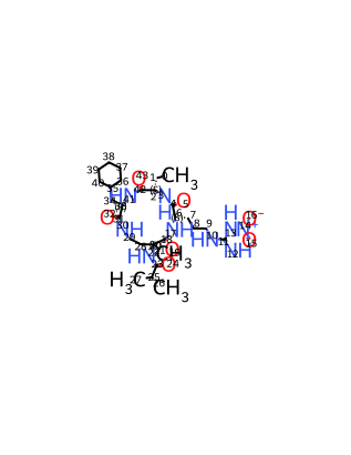 CC[C@@H]1NC(=O)[C@H](CCCNC(=N)N[N+](=O)[O-])NC(=O)[C@](C)(NC(=O)C(C)C)CCNC(=O)[C@@H](CC2CCCCC2)NC1=O